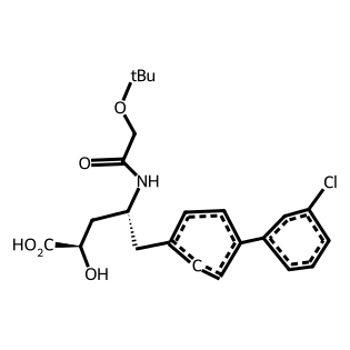 CC(C)(C)OCC(=O)N[C@H](Cc1ccc(-c2cccc(Cl)c2)cc1)C[C@@H](O)C(=O)O